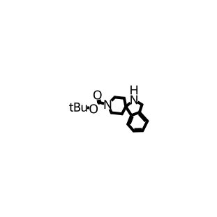 CC(C)(C)OC(=O)N1CCC2(CC1)NCc1ccccc12